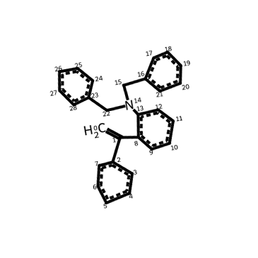 C=C(c1ccccc1)c1ccccc1N(Cc1ccccc1)Cc1ccccc1